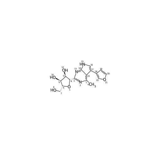 Cc1nc([C@@H]2O[C@H](CO)[C@@H](O)[C@H]2O)nc2[nH]cc(-c3ccoc3)c12